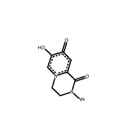 CC(C)N1CCn2cc(O)c(=O)cc2C1=O